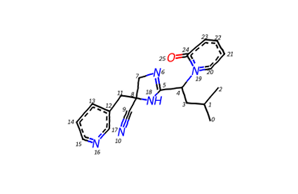 CC(C)CC(C1=NCC(C#N)(Cc2cccnc2)N1)n1ccccc1=O